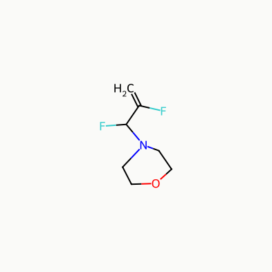 C=C(F)C(F)N1CCOCC1